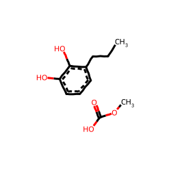 CCCc1cccc(O)c1O.COC(=O)O